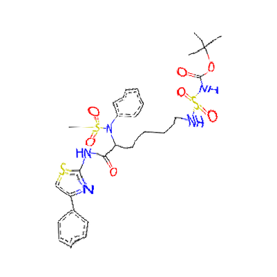 CC(C)(C)OC(=O)NS(=O)(=O)NCCCCC(C(=O)Nc1nc(-c2ccccc2)cs1)N(c1ccccc1)S(C)(=O)=O